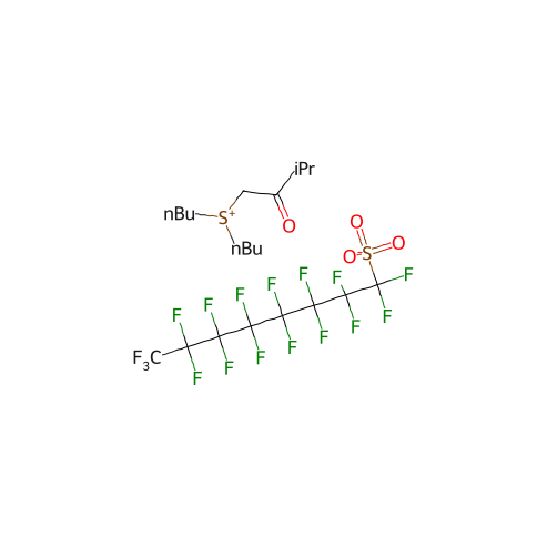 CCCC[S+](CCCC)CC(=O)C(C)C.O=S(=O)([O-])C(F)(F)C(F)(F)C(F)(F)C(F)(F)C(F)(F)C(F)(F)C(F)(F)C(F)(F)F